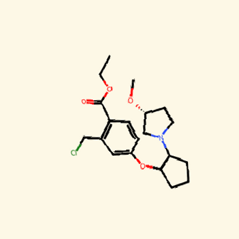 CCOC(=O)c1ccc(OC2CCCC2N2CC[C@@H](OC)C2)cc1CCl